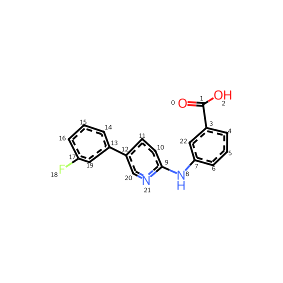 O=C(O)c1cccc(Nc2ccc(-c3cccc(F)c3)cn2)c1